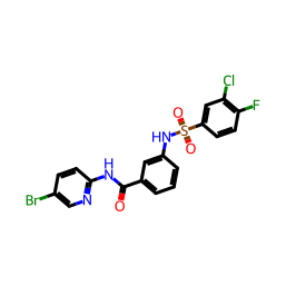 O=C(Nc1ccc(Br)cn1)c1cccc(NS(=O)(=O)c2ccc(F)c(Cl)c2)c1